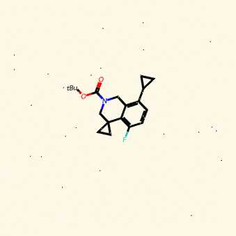 CC(C)(C)OC(=O)N1Cc2c(C3CC3)ccc(F)c2C2(CC2)C1